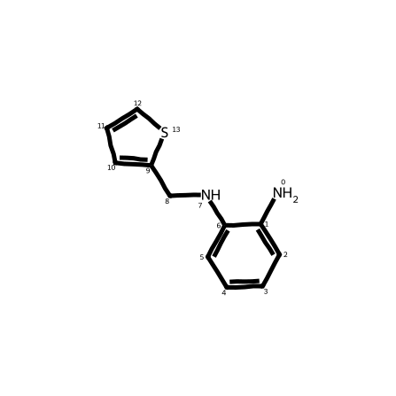 Nc1ccccc1NCc1cccs1